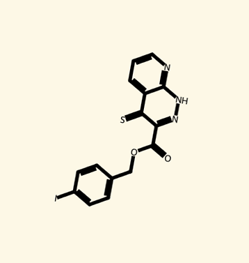 O=C(OCc1ccc(I)cc1)c1n[nH]c2ncccc2c1=S